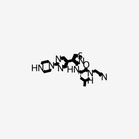 CC(C)C[C@H](Nc1nscc1-c1cnc(N2CCNCC2)nc1)C(=O)NCC#N